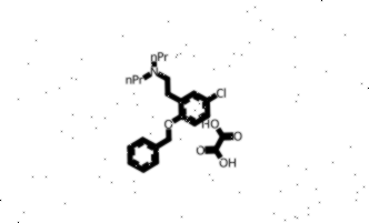 CCCN(CCC)CCc1cc(Cl)ccc1OCc1ccccc1.O=C(O)C(=O)O